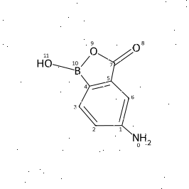 Nc1ccc2c(c1)C(=O)OB2O